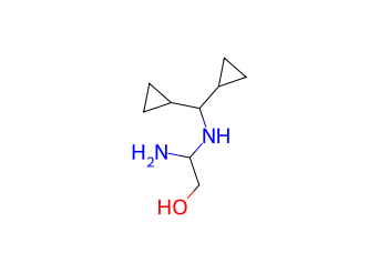 NC(CO)NC(C1CC1)C1CC1